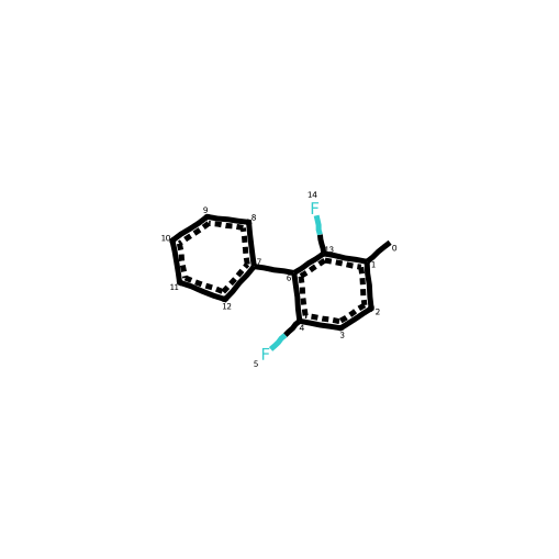 Cc1ccc(F)c(-c2ccccc2)c1F